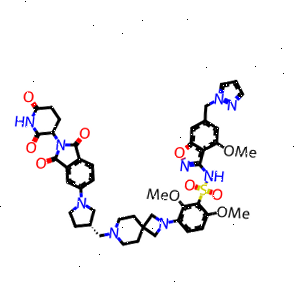 COc1ccc(N2CC3(CCN(C[C@@H]4CCN(c5ccc6c(c5)C(=O)N(C5CCC(=O)NC5=O)C6=O)C4)CC3)C2)c(OC)c1S(=O)(=O)Nc1noc2cc(Cn3cccn3)cc(OC)c12